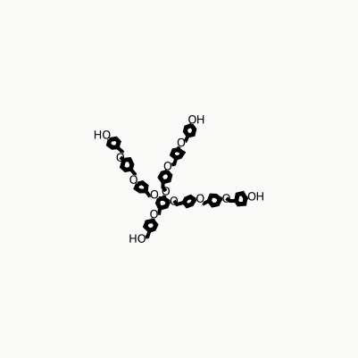 OCc1ccc(OCc2cc(OCc3ccc(OCc4ccc(OCc5ccc(O)cc5)cc4)cc3)c(OCc3ccc(OCc4ccc(OCc5ccc(O)cc5)cc4)cc3)c(OCc3ccc(OCc4ccc(OCc5ccc(O)cc5)cc4)cc3)c2)cc1